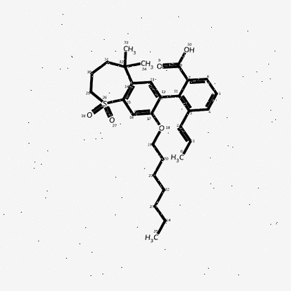 CC=Cc1cccc(C(=O)O)c1-c1cc2c(cc1OCCCCCCC)S(=O)(=O)CCCC2(C)C